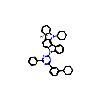 c1ccc(-c2nc(-c3cccc(C4CCCCC4)c3)nc(-n3c4ccccc4c4c5c(ccc43)[C@H]3CCCCC3N5C3CCCCC3)n2)cc1